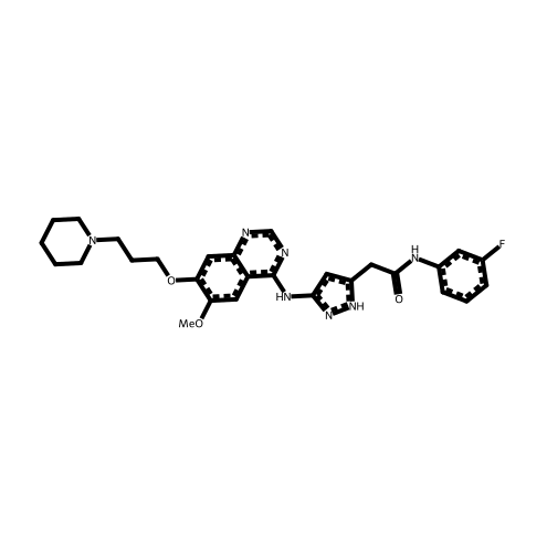 COc1cc2c(Nc3cc(CC(=O)Nc4cccc(F)c4)[nH]n3)ncnc2cc1OCCCN1CCCCC1